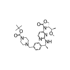 CO[C@H](C)[C@H]1COC(=O)N1c1ccnc(N[C@@H](C)c2ccc(CN3CCN(C(=O)OC(C)(C)C)CC3)cc2)n1